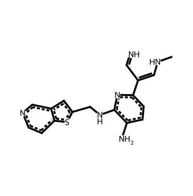 CN/C=C(\C=N)c1ccc(N)c(NCc2cc3cnccc3s2)n1